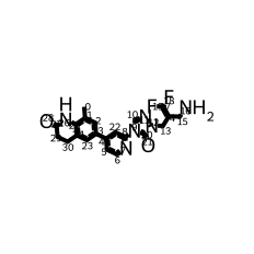 Cc1cc(-c2ccnc(-n3cnn(CC(CN)=C(F)F)c3=O)c2)cc2c1NC(=O)CC2